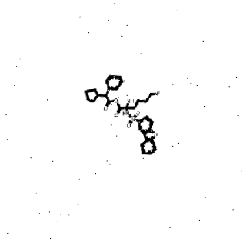 NC(CCCCF)(NS(=O)(=O)c1ccc2oc3ccccc3c2c1)C(=O)OC(=O)C(c1ccccc1)C1CCCC1